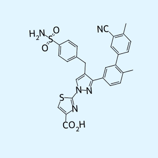 Cc1ccc(-c2cc(-c3nn(-c4nc(C(=O)O)cs4)cc3Cc3ccc(S(N)(=O)=O)cc3)ccc2C)cc1C#N